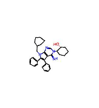 N=c1c2c(-c3ccccc3)c(-c3ccccc3)n(CC3CCCCC3)c2ncn1C1CCCC[C@H]1O